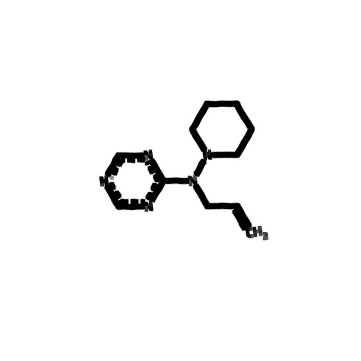 C=CCN(c1ncncn1)N1CCCCC1